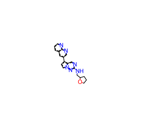 c1cnc2ncc(-c3ccn4nc(NCC5CCCO5)ncc34)cc2c1